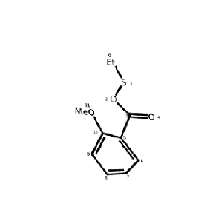 CCSOC(=O)c1ccccc1OC